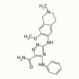 COc1cc2c(cc1Nc1nnc(C(N)=O)c(Nc3ccccc3)n1)CCN(C)C2